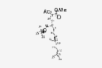 COC(=O)C(C/C=C(/CC/C=C(\C)CCC=C(C)C)CO[Si](C)(C)C)C(C)=O